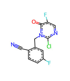 N#Cc1ccc(F)cc1Cn1c(Cl)ncc(F)c1=O